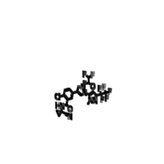 Cn1nc(C(F)(F)C(F)(F)F)c(OC(F)C(F)F)c1-n1cc(-c2ccc(Cl)c(C(=O)NC3(C#N)CC3)c2)cn1